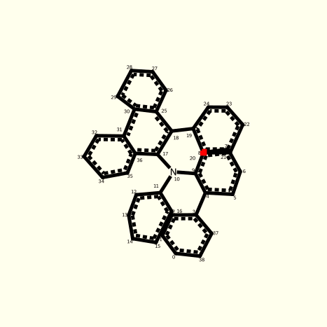 c1ccc(-c2ccccc2N(c2ccccc2)c2c(-c3ccccc3)c3ccccc3c3ccccc23)cc1